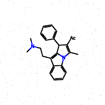 CC(=O)C1=C(C)n2c(c(CCN(C)C)c3ccccc32)C1c1ccccc1